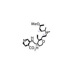 C=CC1=C(/C=C/N(C)C(C)/C=C\C(=C)OC)OCC[C@H]1CNc1cnccc1C(=O)O